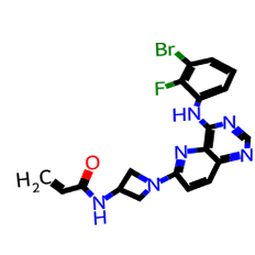 C=CC(=O)NC1CN(c2ccc3ncnc(Nc4cccc(Br)c4F)c3n2)C1